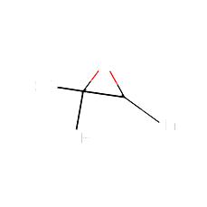 CC(C)C1OC1(C)C